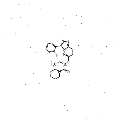 CC[C@@H](Sc1ccc2nnc(-c3ccccc3F)n2n1)C(=O)N1CCCCC1